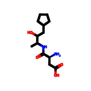 CC(NC(=O)[C@@H](N)CC(=O)O)C(O)CC1CCCC1